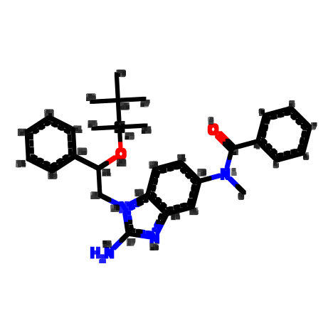 CN(C(=O)c1ccccc1)c1ccc2c(c1)nc(N)n2CC(O[Si](C)(C)C(C)(C)C)c1ccccc1